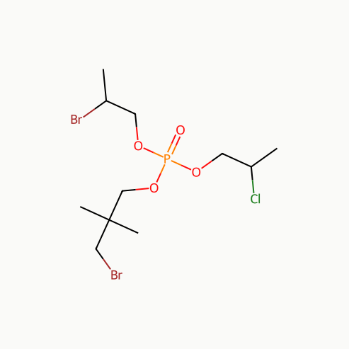 CC(Cl)COP(=O)(OCC(C)Br)OCC(C)(C)CBr